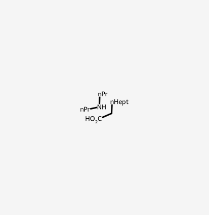 CCCCCCCCC(=O)O.CCCNCCC